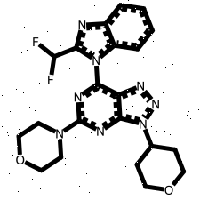 FC(F)c1nc2ccccc2n1-c1nc(N2CCOCC2)nc2c1nnn2C1CCOCC1